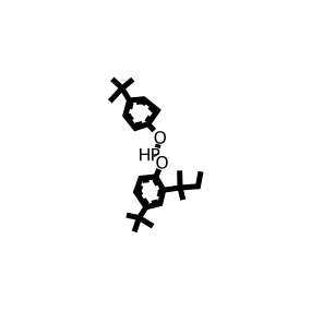 CCC(C)(C)c1cc(C(C)(C)C)ccc1OPOc1ccc(C(C)(C)C)cc1